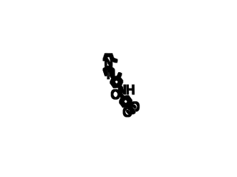 Cc1cc(NC(=O)c2ccc(S(C)(=O)=O)cc2)ccc1N1CCC(N2CCCC2C)C1